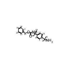 CC(C)(N)c1ccc(C(C)(C)NC(=O)OCc2ccccc2)cc1